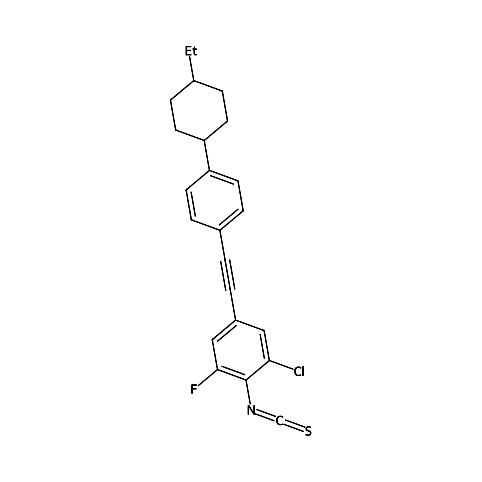 CCC1CCC(c2ccc(C#Cc3cc(F)c(N=C=S)c(Cl)c3)cc2)CC1